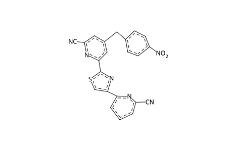 N#Cc1cccc(-c2csc(-c3cc(Cc4ccc([N+](=O)[O-])cc4)cc(C#N)n3)n2)n1